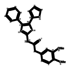 COc1ccc(CC(=O)Nc2nc(-c3ccccc3)c(-c3ccco3)s2)cc1OC